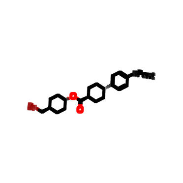 CCCCCc1ccc([C@H]2CC[C@H](C(=O)O[C@H]3CC[C@H](CBr)CC3)CC2)cc1